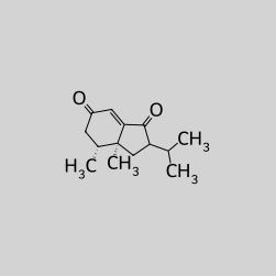 CC(C)C1C[C@]2(C)C(=CC(=O)C[C@H]2C)C1=O